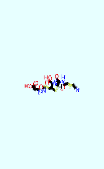 N#CCSCC(=O)NC1C(=O)N2C(C(=O)O)=C(CSc3nnc(CC(=O)O)o3)CS[C@H]12